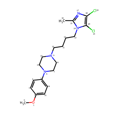 COc1ccc(N2CCN(CCCCn3c(C)nc(Cl)c3Cl)CC2)cc1